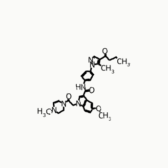 CCCC(=O)c1cnn(-c2ccc(NC(=O)c3cn(CC(=O)N4CCN(C)CC4)c4ccc(OC)cc34)cc2)c1C